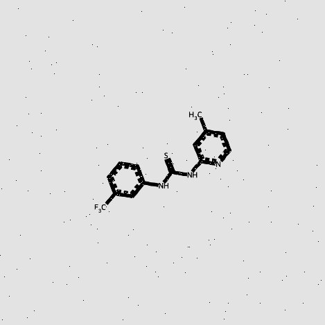 Cc1ccnc(NC(=S)Nc2cccc(C(F)(F)F)c2)c1